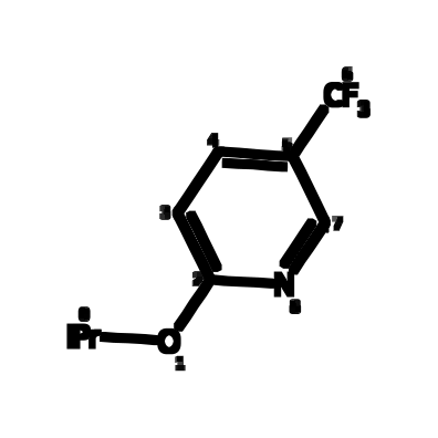 CC(C)Oc1ccc(C(F)(F)F)[c]n1